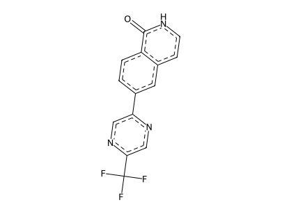 O=c1[nH]ccc2cc(-c3cnc(C(F)(F)F)cn3)ccc12